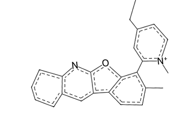 CCc1cc[n+](C)c(-c2c(C)ccc3c2oc2nc4ccccc4cc23)c1